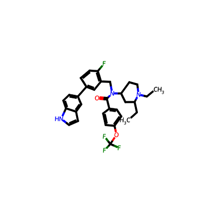 CCC1CC(N(Cc2cc(-c3ccc4[nH]ccc4c3)ccc2F)C(=O)c2ccc(OC(F)(F)F)cc2)CCN1CC